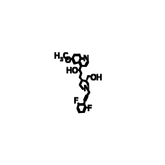 COc1ccc2nccc([C@H](O)CC[C@@H]3CCN(CC#Cc4c(F)cccc4F)C[C@@H]3CO)c2c1